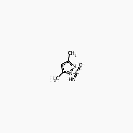 Cc1cc(C)[nH]n1.N=C=O